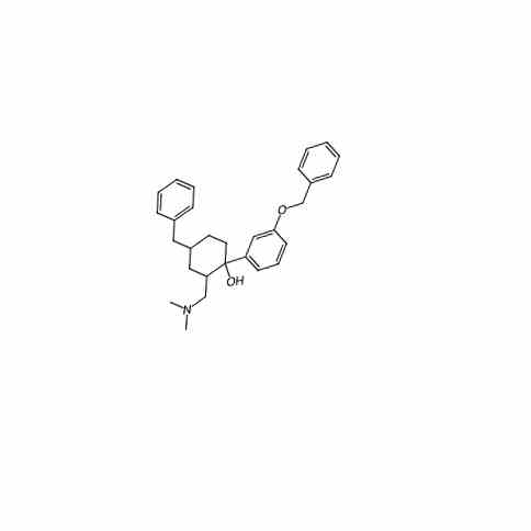 CN(C)CC1CC(Cc2ccccc2)CCC1(O)c1cccc(OCc2ccccc2)c1